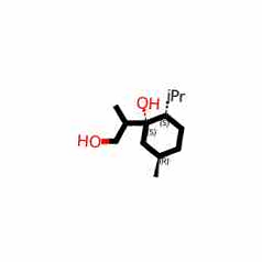 CC(C)[C@@H]1CC[C@@H](C)C[C@@]1(O)C(C)CO